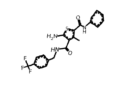 Cc1c(C(=O)Nc2ccccc2)sc(N)c1C(=O)NCc1ccc(C(F)(F)F)cc1